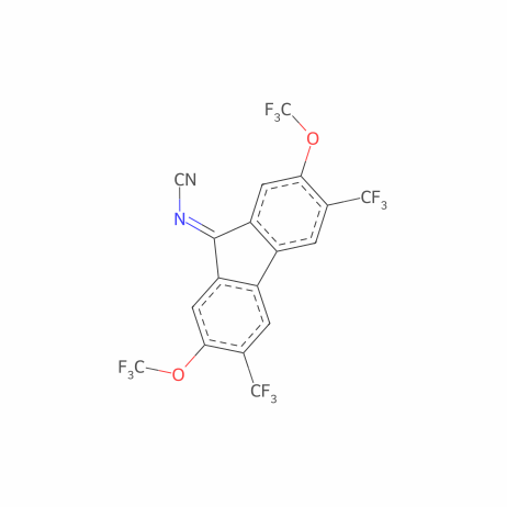 N#CN=C1c2cc(OC(F)(F)F)c(C(F)(F)F)cc2-c2cc(C(F)(F)F)c(OC(F)(F)F)cc21